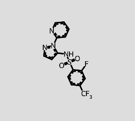 O=S(=O)(Nc1ccnn1-c1ccccn1)c1ccc(C(F)(F)F)cc1F